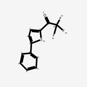 O=C(c1ccc(-c2[c]cccc2)s1)C(F)(F)F